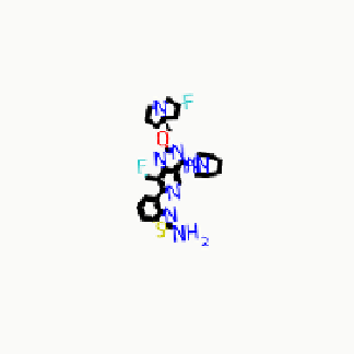 Nc1nc2c(-c3ncc4c(N5CC6CCC(C5)N6)nc(OC[C@@]56CCCN5C[C@H](F)C6)nc4c3CF)cccc2s1